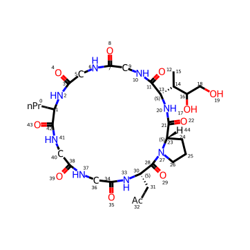 CCCC1NC(=O)CNC(=O)CNC(=O)[C@H](C(C)C(O)CO)NC(=O)[C@@H]2CCCN2C(=O)[C@H](CC(C)=O)NC(=O)CNC(=O)CNC1=O